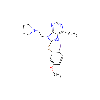 COc1ccc(I)c(Sc2nc3c([AsH2])ncnc3n2CCN2CCCC2)c1